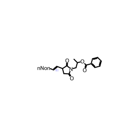 CCCCCCCCC/C=C/C1CC(=O)N(CC(C)OC(=O)c2ccccc2)C1=O